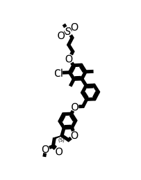 COC(=O)C[C@@H]1COc2cc(OCc3cccc(-c4c(C)cc(OCCCS(C)(=O)=O)c(Cl)c4C)c3)ccc21